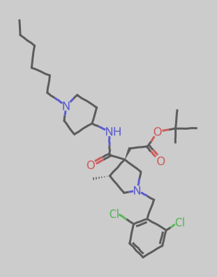 CCCCCCN1CCC(NC(=O)[C@]2(CC(=O)OC(C)(C)C)CN(Cc3c(Cl)cccc3Cl)C[C@@H]2C)CC1